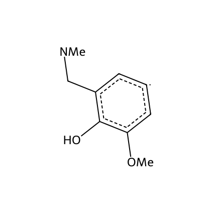 CNCc1c[c]cc(OC)c1O